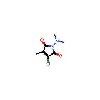 CC1=C(Cl)C(=O)N(N(C)C)C1=O